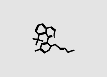 CCC=CCC1CC=C(C)C=C1c1nccc2cccc(C(C)(C)C)c12